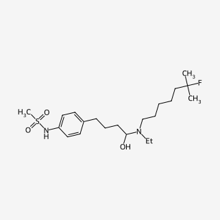 CCN(CCCCCC(C)(C)F)C(O)CCCc1ccc(NS(C)(=O)=O)cc1